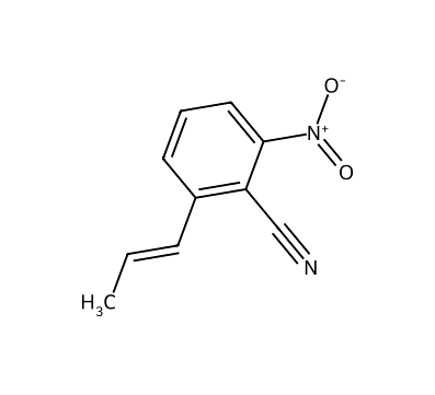 CC=Cc1cccc([N+](=O)[O-])c1C#N